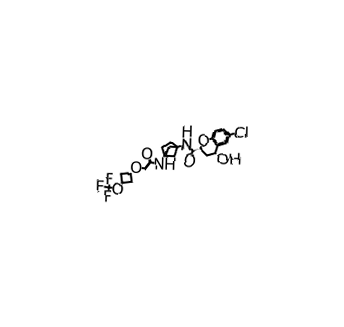 O=C(COC1CC(OC(F)(F)F)C1)NC12CCC(NC(=O)[C@H]3C[C@@H](O)c4cc(Cl)ccc4O3)(C1)C2